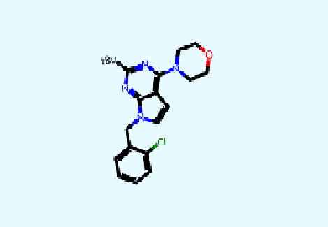 CC(C)(C)c1nc(N2CCOCC2)c2ccn(Cc3ccccc3Cl)c2n1